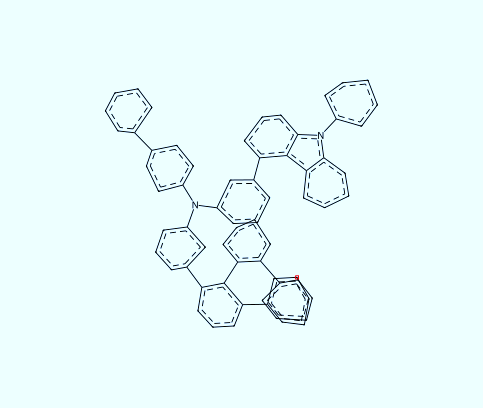 c1ccc(-c2ccc(N(c3cccc(-c4cccc(-c5ccccc5)c4-c4ccccc4-c4ccccc4)c3)c3cccc(-c4cccc5c4c4ccccc4n5-c4ccccc4)c3)cc2)cc1